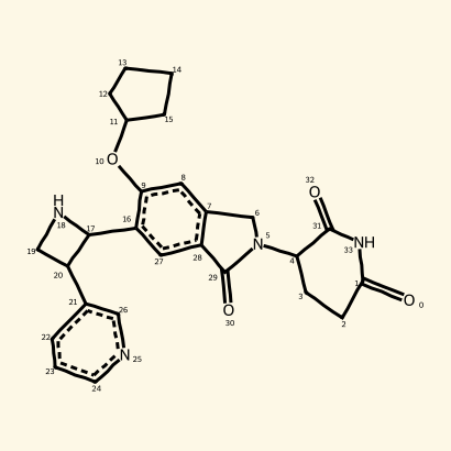 O=C1CCC(N2Cc3cc(OC4CCCC4)c(C4NCC4c4cccnc4)cc3C2=O)C(=O)N1